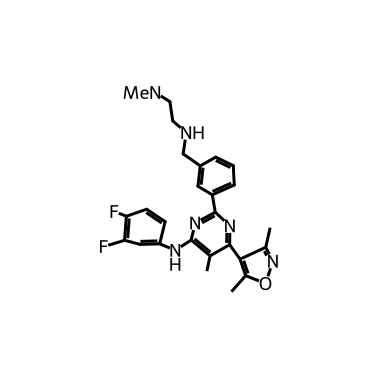 CNCCNCc1cccc(-c2nc(Nc3ccc(F)c(F)c3)c(C)c(-c3c(C)noc3C)n2)c1